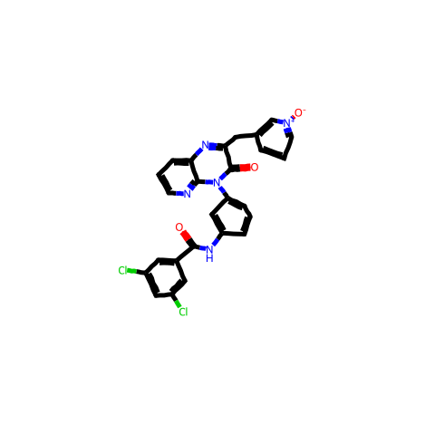 O=C(Nc1cccc(-n2c(=O)c(Cc3ccc[n+]([O-])c3)nc3cccnc32)c1)c1cc(Cl)cc(Cl)c1